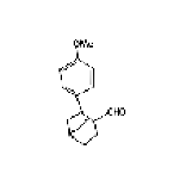 COc1ccc(C2CC3CCC2(C=O)CC3)cc1